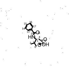 CC(C)[C@@H](CS(=O)(=O)O)NC(=O)c1ccccc1